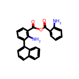 Nc1ccccc1C(=O)OC(=O)c1cccc(-c2cccc3ccccc23)c1N